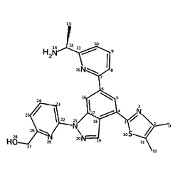 Cc1nc(-c2cc(-c3cccc([C@H](C)N)n3)cc3c2cnn3-c2cccc(CO)n2)sc1C